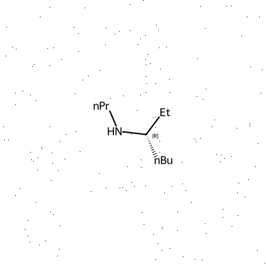 CCCC[C@@H](CC)NCCC